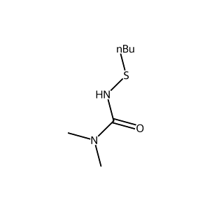 CCCCSNC(=O)N(C)C